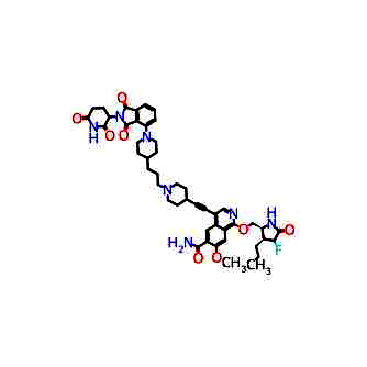 CCC[C@@H]1[C@H](F)C(=O)N[C@@H]1COc1ncc(C#CC2CCN(CCCC3CCN(c4cccc5c4C(=O)N(C4CCC(=O)NC4=O)C5=O)CC3)CC2)c2cc(C(N)=O)c(OC)cc12